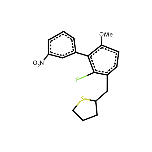 COc1ccc(CC2CCCS2)c(F)c1-c1cccc([N+](=O)[O-])c1